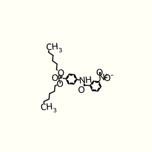 CCCCCCOP(=O)(OCCCCCC)c1ccc(NC(=O)c2cccc([N+](=O)[O-])c2)cc1